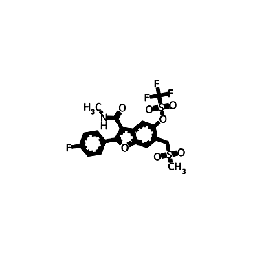 CNC(=O)c1c(-c2ccc(F)cc2)oc2cc(CS(C)(=O)=O)c(OS(=O)(=O)C(F)(F)F)cc12